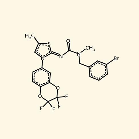 Cc1cn(-c2ccc3c(c2)OC(F)(F)C(F)(F)O3)c(=NC(=O)N(C)Cc2cccc(Br)c2)s1